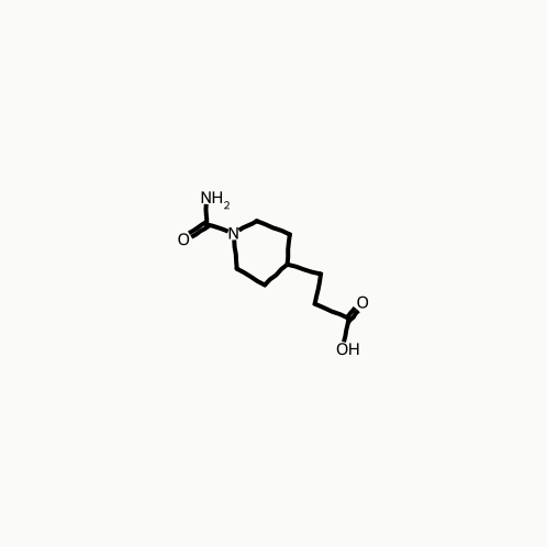 NC(=O)N1CCC(CCC(=O)O)CC1